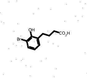 O=C(O)CCCc1cccc(Br)c1O